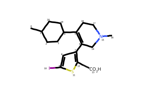 CC1CCC(C2=C(c3cc(I)sc3C(=O)O)CN(C)CC2)CC1